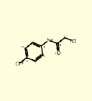 O=C(CCl)[N]c1ccc(Cl)cc1